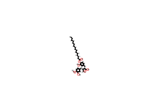 CCCCCCCCCCCCCCCC(=O)Oc1ccc(C[C@H]2C(=O)OC[C@@H]2Cc2ccc(OC)c(OC)c2)cc1OC